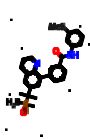 B[SH](C)(=O)C(C)(C)c1cc(-c2cccc(C(=O)Nc3cccc(SC)c3)c2)c2ncccc2c1